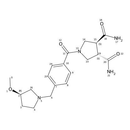 CO[C@@H]1CCN(Cc2ccc(C(=O)N3C[C@@H](C(N)=O)[C@H](C(N)=O)C3)cc2)C1